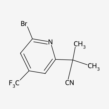 CC(C)(C#N)c1cc(C(F)(F)F)cc(Br)n1